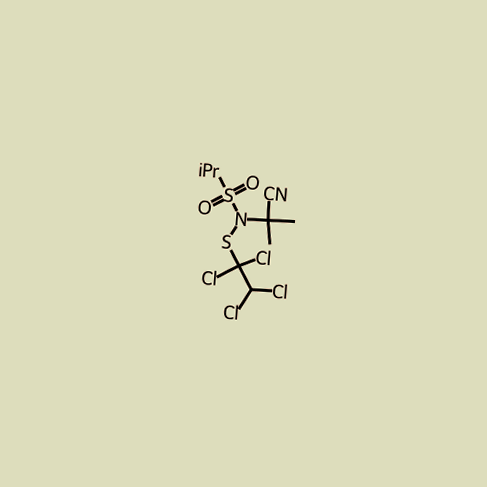 CC(C)S(=O)(=O)N(SC(Cl)(Cl)C(Cl)Cl)C(C)(C)C#N